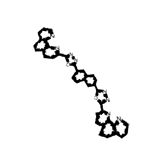 c1cnc2c(c1)ccc1ccc(-c3nnc(-c4ccc5cc(-c6nnc(-c7ccc8ccc9cccnc9c8n7)o6)ccc5c4)o3)nc12